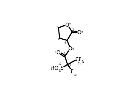 O=C1OCCC1OC(=O)C(F)(C(F)(F)F)S(=O)(=O)O